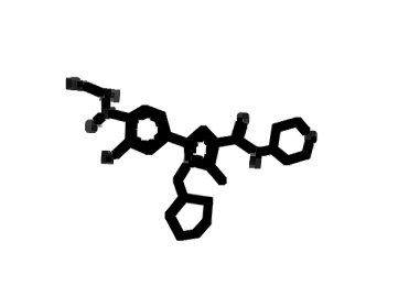 Cc1c(C(=O)NC2CCOCC2)cc(-c2ccc([S+]([O-])NC(C)(C)C)c(Br)c2)n1CC1CCCCC1